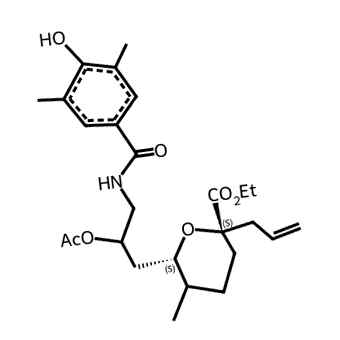 C=CC[C@]1(C(=O)OCC)CCC(C)[C@H](CC(CNC(=O)c2cc(C)c(O)c(C)c2)OC(C)=O)O1